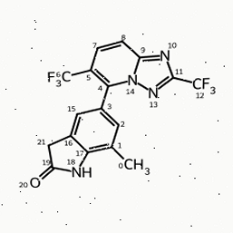 Cc1cc(-c2c(C(F)(F)F)ccc3nc(C(F)(F)F)nn23)cc2c1NC(=O)C2